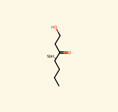 CCCCC(=O)CCO.[SbH3]